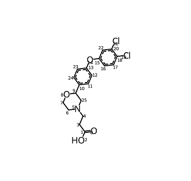 O=C(O)CCN1CCOC(c2ccc(Oc3ccc(Cl)c(Cl)c3)cc2)C1